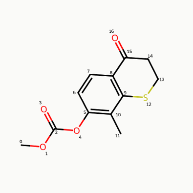 COC(=O)Oc1ccc2c(c1C)SCCC2=O